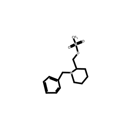 CS(=O)(=O)OCC1CCCCN1Cc1ccccc1